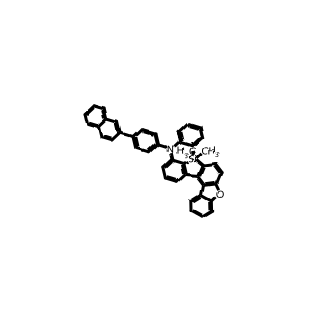 C[Si]1(C)c2ccc3oc4ccccc4c3c2-c2cccc(N(c3ccccc3)c3ccc(-c4ccc5ccccc5c4)cc3)c21